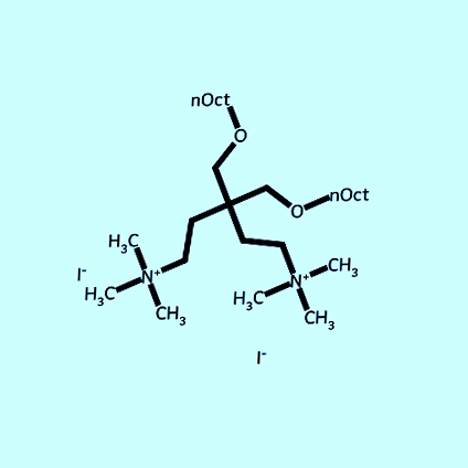 CCCCCCCCOCC(CC[N+](C)(C)C)(CC[N+](C)(C)C)COCCCCCCCC.[I-].[I-]